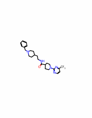 O=C(NCCC1CCN(Cc2ccccc2)CC1)C1CCN(c2nccc(C(F)(F)F)n2)CC1